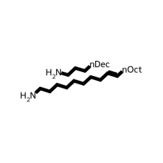 CCCCCCCCC=CCCCCCCCCN.CCCCCCCCCCCCCN